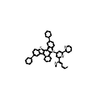 C=N/C(=C\C=C/C)c1cc(-n2c3ccc(-c4ccccc4)cc3c3c4sc5ccc(-c6ccccc6)cc5c4c4ccccc4c32)cc(-c2ccccn2)n1